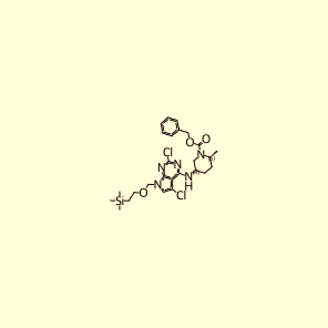 C[C@H]1CC[C@@H](Nc2nc(Cl)nc3c2c(Cl)cn3COCC[Si](C)(C)C)CN1C(=O)OCc1ccccc1